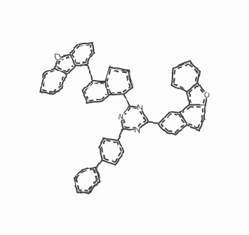 c1ccc(-c2ccc(-c3nc(-c4ccc5ccc6oc7ccccc7c6c5c4)nc(-c4cccc5c(-c6cccc7oc8ccccc8c67)cccc45)n3)cc2)cc1